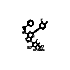 CNC(=O)C1(C)[C@H](C)[C@@H](n2cnc3c(NC4C[C@H]4c4ccccc4)nc(C#Cc4ccc(F)c(F)c4)nc32)[C@H](O)[C@@H]1O